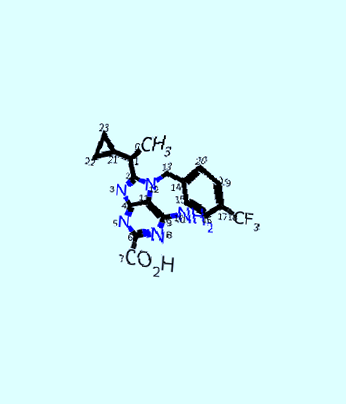 CC(c1nc2nc(C(=O)O)nc(N)c2n1Cc1ccc(C(F)(F)F)cc1)C1CC1